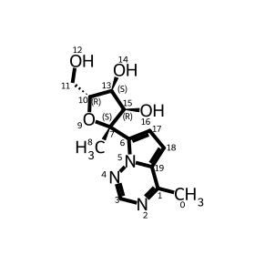 Cc1ncnn2c([C@]3(C)O[C@H](CO)[C@@H](O)[C@H]3O)ccc12